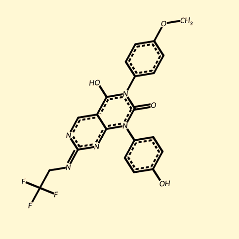 COc1ccc(-n2c(O)c3cn/c(=N\CC(F)(F)F)nc-3n(-c3ccc(O)cc3)c2=O)cc1